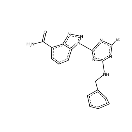 CCc1nc(NCc2ccccc2)nc(-n2nnc3c(C(N)=O)cccc32)n1